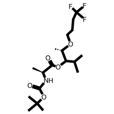 CC(C)C(OC(=O)[C@H](C)NC(=O)OC(C)(C)C)[C@H](C)OCCCC(F)(F)F